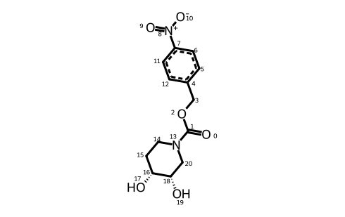 O=C(OCc1ccc([N+](=O)[O-])cc1)N1CC[C@@H](O)[C@@H](O)C1